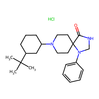 CC(C)(C)C1CCCC(N2CCC3(CC2)C(=O)NCN3c2ccccc2)C1.Cl